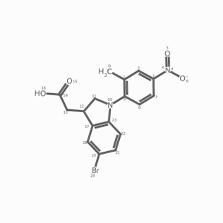 Cc1cc([N+](=O)[O-])ccc1N1CC(CC(=O)O)c2cc(Br)ccc21